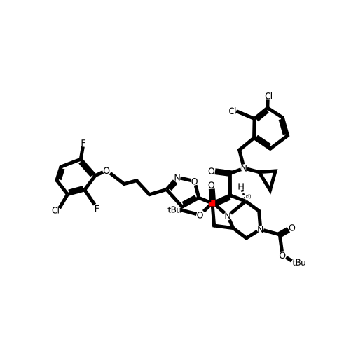 CC(C)(C)OC(=O)N1CC2CC(c3cc(CCCOc4c(F)ccc(Cl)c4F)no3)=C(C(=O)N(Cc3cccc(Cl)c3Cl)C3CC3)[C@@H](C1)N2C(=O)OC(C)(C)C